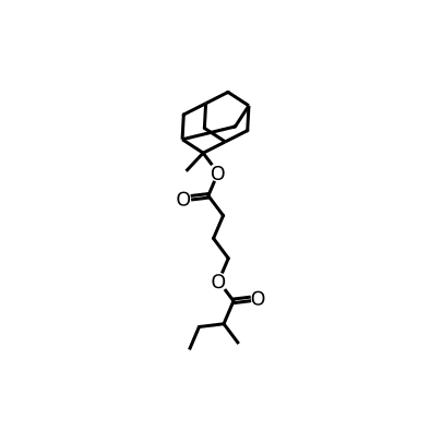 CCC(C)C(=O)OCCCC(=O)OC1(C)C2CC3CC(C2)CC1C3